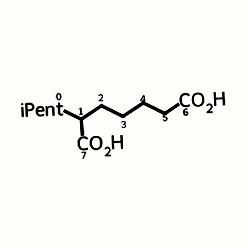 CCCC(C)C(CCCCC(=O)O)C(=O)O